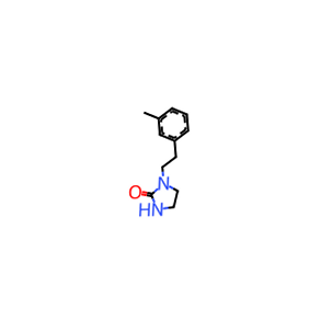 Cc1cccc(CCN2CCNC2=O)c1